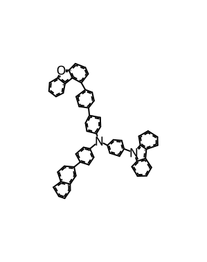 c1ccc2cc(-c3ccc(N(c4ccc(-c5ccc(-c6cccc7oc8ccccc8c67)cc5)cc4)c4ccc(-n5c6ccccc6c6ccccc65)cc4)cc3)ccc2c1